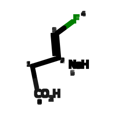 O=C(O)CC=CF.[NaH]